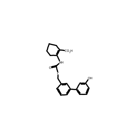 O=C(CCc1cccc(-c2cccc(O)c2)c1)NC1=C(C(=O)O)CCCC1